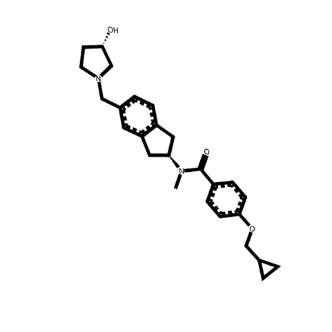 CN(C(=O)c1ccc(OCC2CC2)cc1)[C@@H]1Cc2ccc(CN3CC[C@H](O)C3)cc2C1